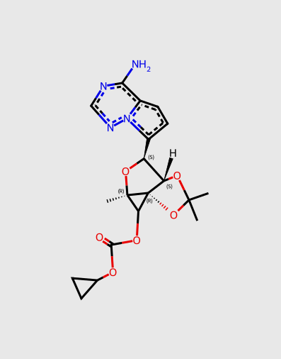 CC1(C)O[C@H]2[C@H](c3ccc4c(N)ncnn34)O[C@]3(C)C(OC(=O)OC4CC4)[C@]23O1